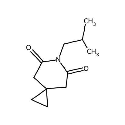 CC(C)CN1C(=O)CC2(CC2)CC1=O